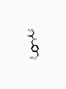 NCC(=O)NCc1ccc(CC(=O)O)cc1